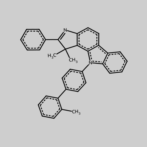 Cc1ccccc1-c1ccc(-n2c3ccccc3c3ccc4c(c32)C(C)(C)C(c2ccccc2)=N4)cc1